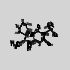 CCC(CC)n1c(=O)cc(NC(C)c2ccccc2)[nH]c1=O